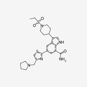 CCS(=O)(=O)N1CCC(c2c[nH]c3c(C(N)=O)cc(-c4nc(CN5CCCC5)cs4)cc23)CC1